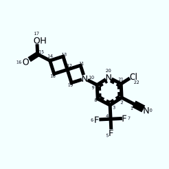 N#Cc1c(C(F)(F)F)cc(N2CC3(CC(C(=O)O)C3)C2)nc1Cl